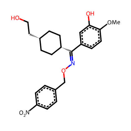 COc1ccc(C(=NOCc2ccc([N+](=O)[O-])cc2)[C@H]2CC[C@@H](CCO)CC2)cc1O